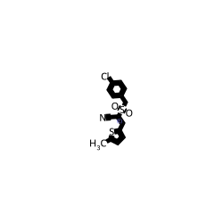 Cc1ccc(/C=C(\C#N)S(=O)(=O)Cc2ccc(Cl)cc2)s1